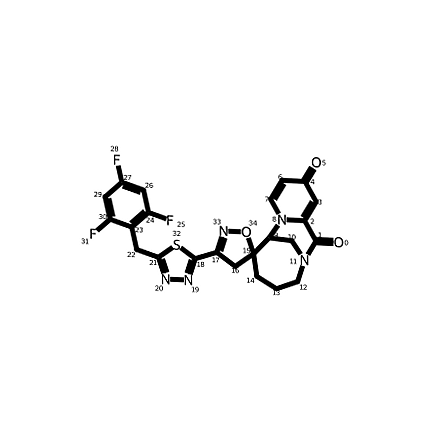 O=C1c2cc(=O)ccn2C2CN1CCCC21CC(c2nnc(Cc3c(F)cc(F)cc3F)s2)=NO1